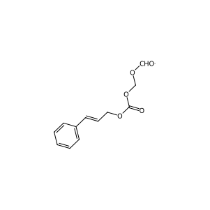 O=[C]OCOC(=O)OCC=Cc1ccccc1